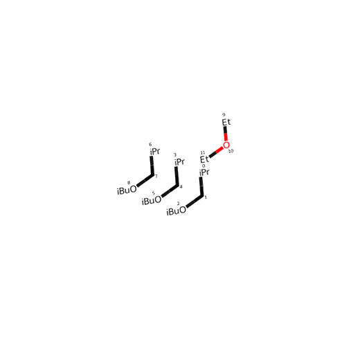 CC(C)COCC(C)C.CC(C)COCC(C)C.CC(C)COCC(C)C.CCOCC